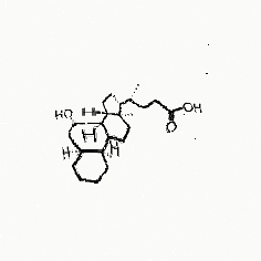 C[C@H](CCC(=O)O)[C@H]1CC[C@H]2[C@@H]3[C@@H](O)C[C@@H]4CCCC[C@]4(C)[C@H]3CC[C@]12C